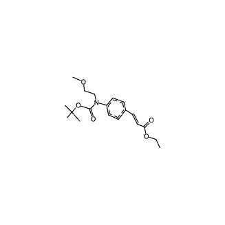 CCOC(=O)C=Cc1ccc(N(CCOC)C(=O)OC(C)(C)C)cc1